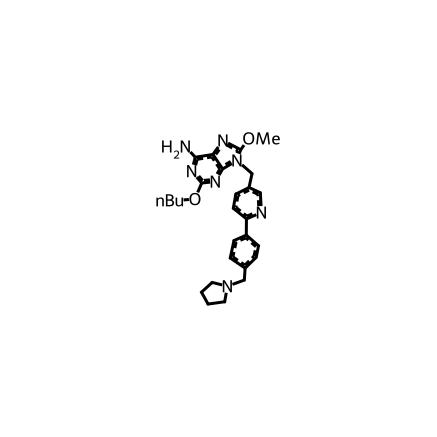 CCCCOc1nc(N)c2nc(OC)n(Cc3ccc(-c4ccc(CN5CCCC5)cc4)nc3)c2n1